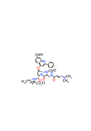 C=C[C@@H]1C[C@]1(NC(=O)[C@@H]1C[C@@H](Oc2cc(-c3ccccc3)nc3cc(OC)ccc23)CN1C(=O)[C@H](CNC(=O)/C=C/CN(C)C)NC=O)C(=O)OCC